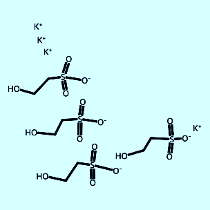 O=S(=O)([O-])CCO.O=S(=O)([O-])CCO.O=S(=O)([O-])CCO.O=S(=O)([O-])CCO.[K+].[K+].[K+].[K+]